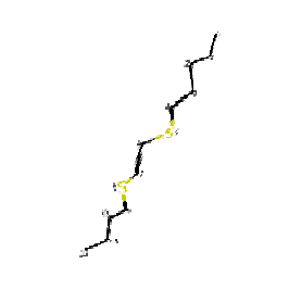 CCCCCS[CH]CSCCCC